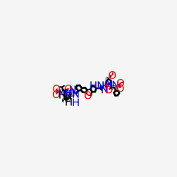 COC[C@H]1C[C@@H](c2ncc(-c3ccc4c(c3)COc3cc5c(ccc6nc([C@@H]7C[C@H]8[C@@H](C)[C@H]8N7C(=O)[C@@H](NC(=O)OC)C(C)C)[nH]c65)cc3-4)[nH]2)N(C(=O)[C@H](NC(=O)OC)c2ccccc2)C1